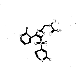 CN(Cc1nc(-c2cccnc2F)c(S(=O)(=O)c2ccnc(Cl)c2)s1)C(=O)O